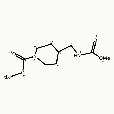 COC(=O)NCC1CCN(C(=O)OC(C)(C)C)CC1